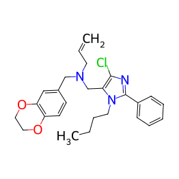 C=CCN(Cc1ccc2c(c1)OCCO2)Cc1c(Cl)nc(-c2ccccc2)n1CCCC